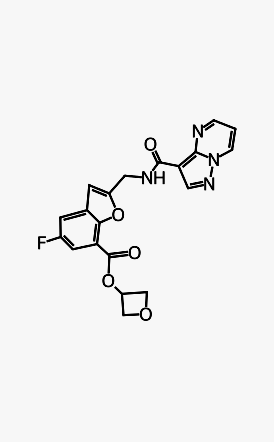 O=C(OC1COC1)c1cc(F)cc2cc(CNC(=O)c3cnn4cccnc34)oc12